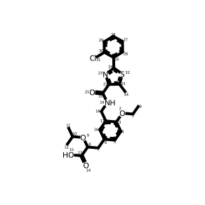 CCOc1ccc(CC(OC(C)C)C(=O)O)cc1CNC(=O)c1nc(-c2ccccc2Cl)sc1C